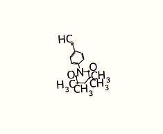 C#Cc1ccc(N2C(=O)C(C)(C)CC(C)(C)C2=O)cc1